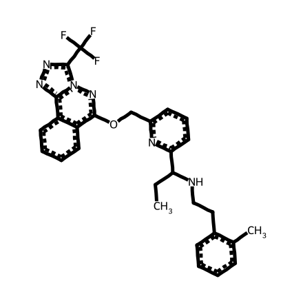 CCC(NCCc1ccccc1C)c1cccc(COc2nn3c(C(F)(F)F)nnc3c3ccccc23)n1